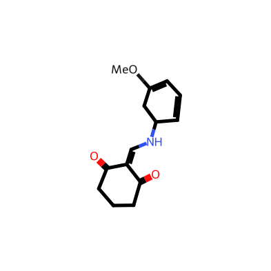 COC1=CC=CC(NC=C2C(=O)CCCC2=O)C1